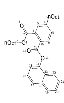 CCCCCCCCOC(=O)c1cc(CCCCCCCC)ccc1C(=O)Oc1cccc2ccccc12